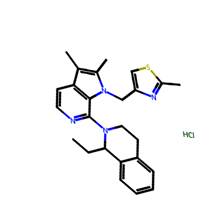 CCC1c2ccccc2CCN1c1nccc2c(C)c(C)n(Cc3csc(C)n3)c12.Cl